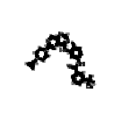 Cc1ccc(NC(=O)c2cccc(C(C)(C)C#N)c2)cc1Nc1ncnc2cnc(N3CCN(C4CC4)CC3)nc12